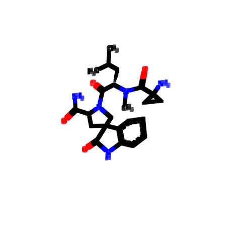 CC(C)C[C@@H](C(=O)N1CC2(CC1C(N)=O)C(=O)Nc1ccccc12)N(C)C(=O)C1(N)CC1